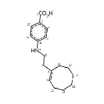 O=C(O)c1ccc(NCCC2=CCCCCCC2)cc1